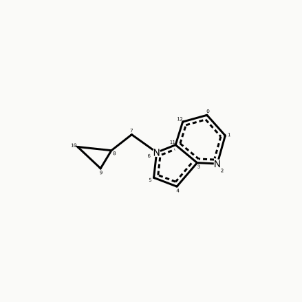 c1cnc2ccn(CC3CC3)c2c1